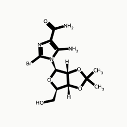 CC1(C)O[C@@H]2[C@H](O1)[C@@H](CO)O[C@H]2n1c(Br)nc(C(N)=O)c1N